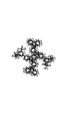 CC(C)(C)c1cc(-c2ccc3c(c2)c2c4c5ccc(-n6c7ccccc7c7ccccc76)cc5n5c6ccc(-c7cc(C(C)(C)C)cc(C(C)(C)C)c7)cc6c(c6c7ccc(-n8c9ccccc9c9ccccc98)cc7n3c26)c45)cc(C(C)(C)C)c1